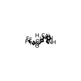 CN(c1ncnc2[nH]ccc12)C1CC(CS(=O)(=O)C2CN(CC(F)(F)F)C2)C1